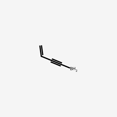 BC#CC=C